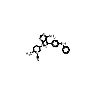 CC1CCC(n2nc(-c3ccc(Nc4ccccc4)cc3)c3c(N)ncnc32)CN1C#N